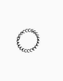 C1CCCCCCCCCCCOCCCCCCCCCC1